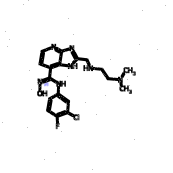 CN(C)CCNCc1nc2nccc(/C(=N/O)Nc3ccc(F)c(Cl)c3)c2[nH]1